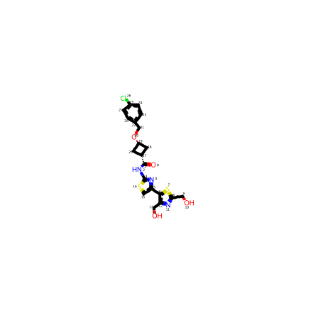 O=C(Nc1nc(-c2sc(CO)nc2CO)cs1)[C@H]1C[C@@H](OCc2ccc(Cl)cc2)C1